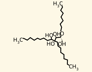 CCCCCCCCCO[C@H](CO)[C@H](O)[C@](O)(CCCCCCCCC)C(O)CCCCCCCCC